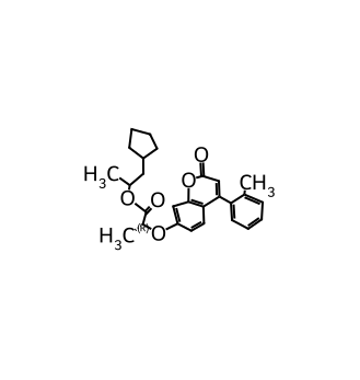 Cc1ccccc1-c1cc(=O)oc2cc(O[C@H](C)C(=O)OC(C)CC3CCCC3)ccc12